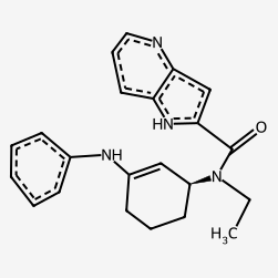 CCN(C(=O)c1cc2ncccc2[nH]1)[C@@H]1C=C(Nc2ccccc2)CCC1